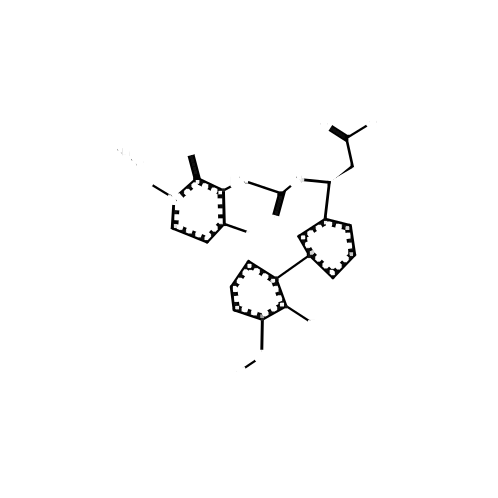 COc1cccc(-c2cccc([C@H](CC(=O)[O-])NC(=O)Nc3c([O-])ccn(C)c3=O)c2)c1F.[Na+].[Na+]